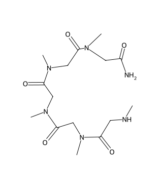 CNCC(=O)N(C)CC(=O)N(C)CC(=O)N(C)CC(=O)N(C)CC(N)=O